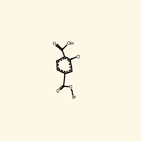 O=C(OBr)c1ccc(C(=O)O)c(Cl)c1